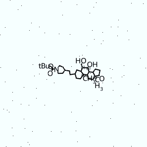 CC(C)(C)OC(=O)N1CCC(CCC2CC[C@]3(C)C4CC[C@]5(C)C(=O)CCC5C4[C@H](O)[C@H](CO)C3C2)CC1